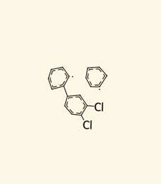 Clc1ccc(-c2[c]cccc2)cc1Cl.[c]1ccccc1